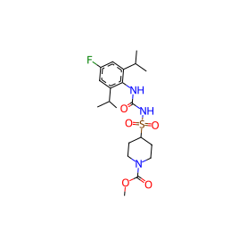 COC(=O)N1CCC(S(=O)(=O)NC(=O)Nc2c(C(C)C)cc(F)cc2C(C)C)CC1